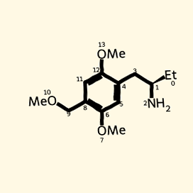 CC[C@@H](N)Cc1cc(OC)c(COC)cc1OC